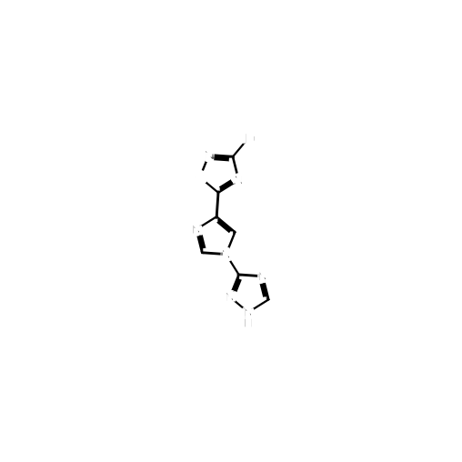 CCc1noc(-c2cn(-c3nc[nH]n3)cn2)n1